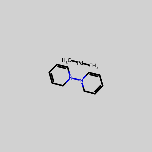 C1=CCN(N2C=CC=CC2)C=C1.[CH3][Pd][CH3]